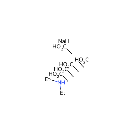 CC(=O)O.CC(=O)O.CC(=O)O.CC(=O)O.CC(=O)O.CCNCC.[NaH]